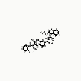 COc1ccc2ccccc2c1C(=O)NC(C)c1ccc(-c2nn3c(c2C(N)=O)Nc2ccccc2CC3)cc1